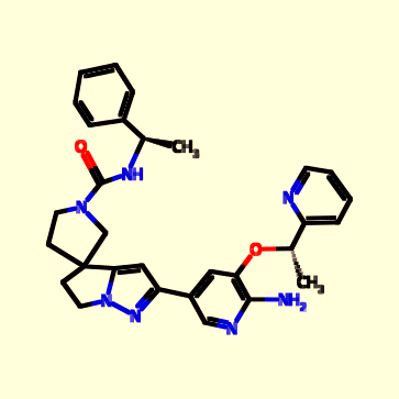 C[C@H](Oc1cc(-c2cc3n(n2)CCC32CCN(C(=O)N[C@H](C)c3ccccc3)C2)cnc1N)c1ccccn1